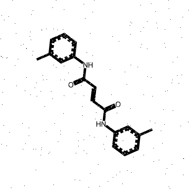 Cc1cccc(NC(=O)C=CC(=O)Nc2cccc(C)c2)c1